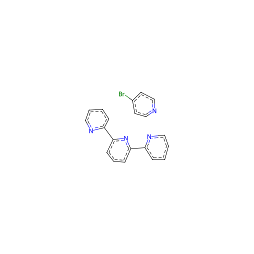 Brc1ccncc1.c1ccc(-c2cccc(-c3ccccn3)n2)nc1